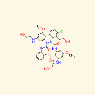 COc1cc(NCCO)cc(NC(=O)N(c2cccc(Cl)c2CCO)N(C(=O)Nc2ccccc2CCO)c2cc(NCCO)cc(OC)c2)c1